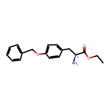 CCOC(=O)[C@@H](N)Cc1ccc(OCc2ccccc2)cc1